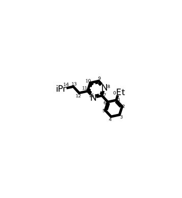 CCC1=CCCC=C1c1nccc(CCC(C)C)n1